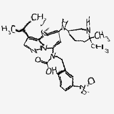 CC(C)c1cnn2c(N(Cc3cccc([N+](=O)[O-])c3)C(=O)O)cc(NC3CCC(C)(C)NC3)nc12